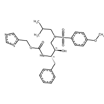 COc1ccc(S(=O)(=O)N(CC(C)C)C[C@@H](O)[C@H](Cc2ccccc2)NC(=O)OCc2cncs2)cc1